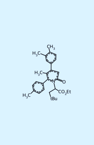 CCOC(=O)C(CC(C)(C)C)n1c(-c2ccc(C)cc2)c(C)c(-c2ccc(C)c(C)c2)cc1=O